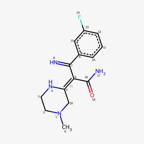 CN1CCN/C(=C(\C(=N)c2cccc(F)c2)C(N)=O)C1